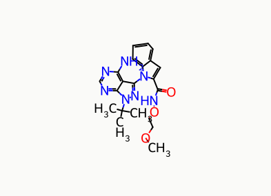 COCCONC(=O)c1cc2ccccc2n1-c1nn(C(C)(C)C)c2ncnc(N)c12